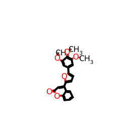 COc1cc(-c2ccc(-c3cc(=O)oc4ccccc34)o2)cc(OC)c1OC